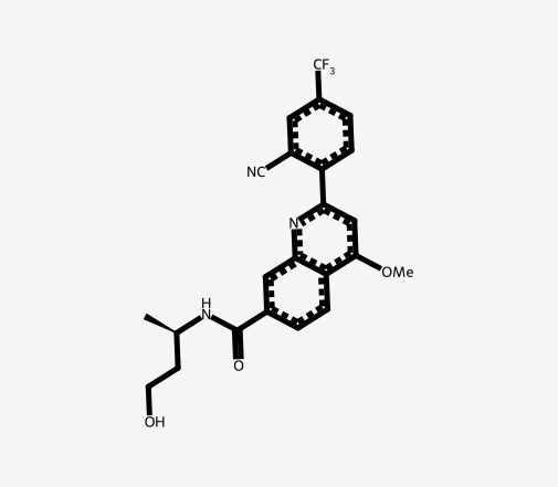 COc1cc(-c2ccc(C(F)(F)F)cc2C#N)nc2cc(C(=O)N[C@H](C)CCO)ccc12